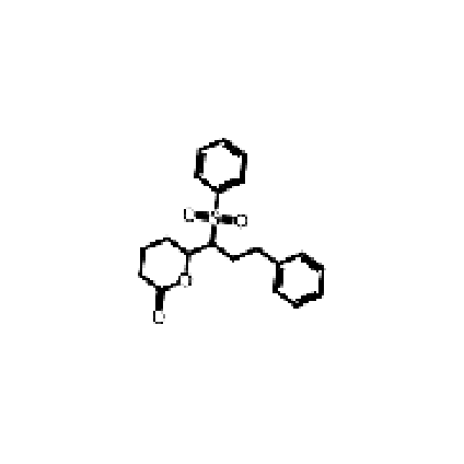 O=C1CCCC(C(CCc2ccccc2)S(=O)(=O)c2ccccc2)O1